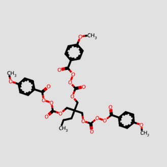 CCCC(COC(=O)OOC(=O)c1ccc(OC)cc1)(COC(=O)OOC(=O)c1ccc(OC)cc1)COC(=O)OOC(=O)c1ccc(OC)cc1